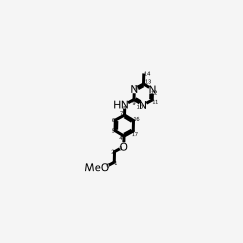 COCCOc1ccc(Nc2ncnc(C)n2)cc1